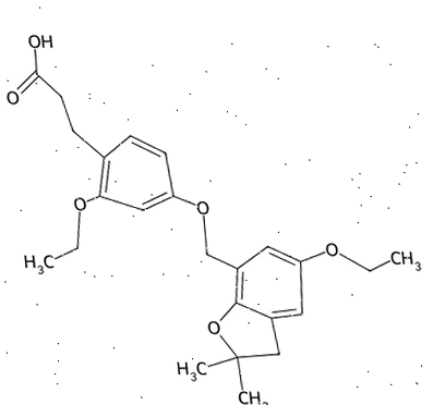 CCOc1cc(COc2ccc(CCC(=O)O)c(OCC)c2)c2c(c1)CC(C)(C)O2